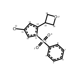 O=S(=O)(c1ccccc1)n1cc(Cl)cc1C1COC1